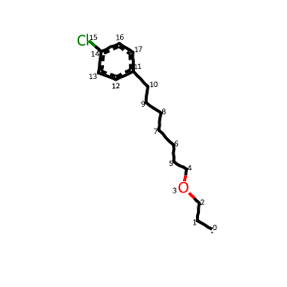 [CH2]CCOCCCCCCCc1ccc(Cl)cc1